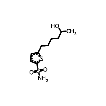 CC(O)CCCCc1ccc(S(N)(=O)=O)s1